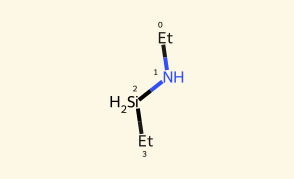 CCN[SiH2]CC